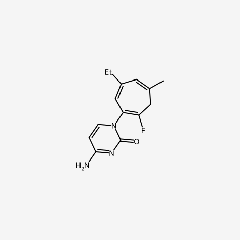 CCC1=CC(n2ccc(N)nc2=O)=C(F)CC(C)=C1